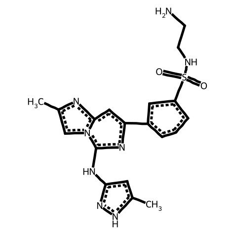 Cc1cn2c(Nc3cc(C)[nH]n3)nc(-c3cccc(S(=O)(=O)NCCN)c3)cc2n1